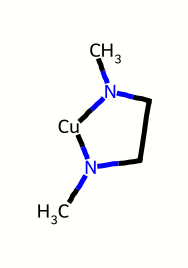 C[N]1CC[N](C)[Cu]1